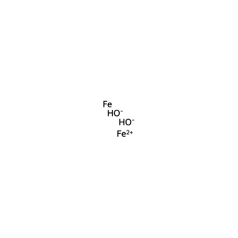 [Fe+2].[Fe].[OH-].[OH-]